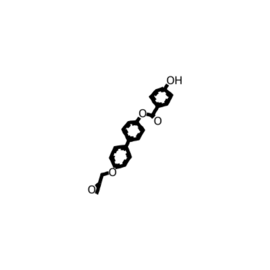 O=C(Oc1ccc(-c2ccc(OCC3CO3)cc2)cc1)c1ccc(O)cc1